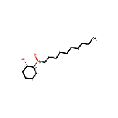 CCCCCCCCCC[S+]([O-])[C@H]1CCCC[C@@H]1O